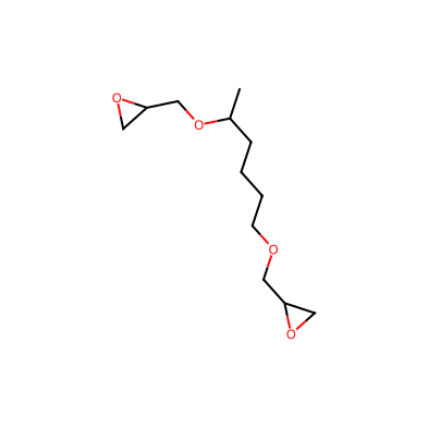 CC(CCCCOCC1CO1)OCC1CO1